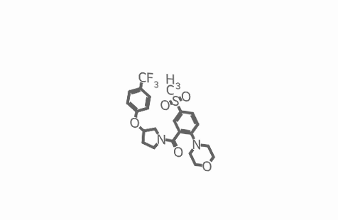 CS(=O)(=O)c1ccc(N2CCOCC2)c(C(=O)N2CCC(Oc3ccc(C(F)(F)F)cc3)C2)c1